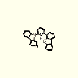 C1=CC(c2cccc3c2oc2ccccc23)NC(n2c3ccccc3c3ccncc32)=C1